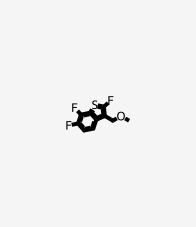 COCc1c(F)sc2c(F)c(F)ccc12